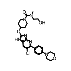 CN(CCO)C(=O)N1CCC(Oc2nc3nc(-c4ccc(N5CCOCC5)cc4)c(Cl)cc3[nH]2)CC1